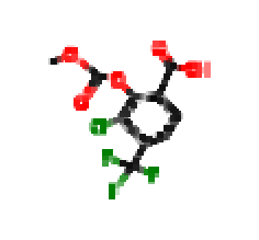 COC(=O)Oc1c(C(=O)O)ccc(C(F)(F)F)c1Cl